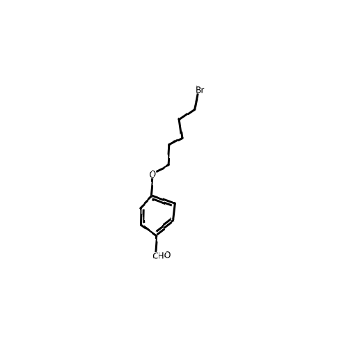 O=Cc1ccc(OCCCCCBr)cc1